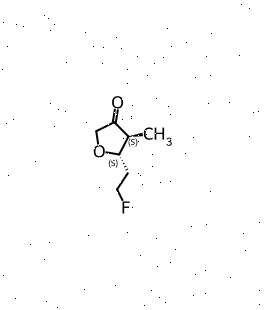 C[C@@H]1C(=O)CO[C@H]1CCF